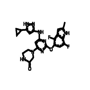 Cc1cc2c(F)c(Oc3nc(Nc4cc(C5CC5)[nH]n4)cc(N4CCNC(=O)C4)n3)cc(F)c2[nH]1